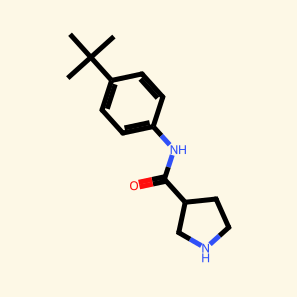 CC(C)(C)c1ccc(NC(=O)C2CCNC2)cc1